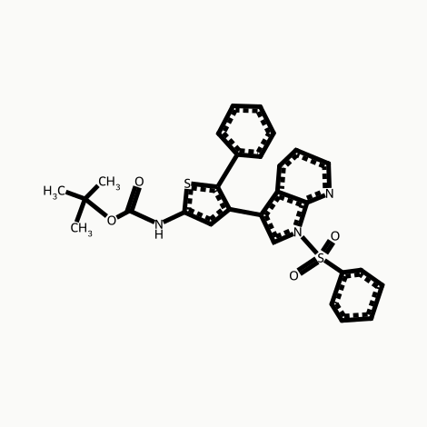 CC(C)(C)OC(=O)Nc1cc(-c2cn(S(=O)(=O)c3ccccc3)c3ncccc23)c(-c2ccccc2)s1